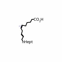 CCCCCCCCC=CC/C=C\CCCCC(=O)O